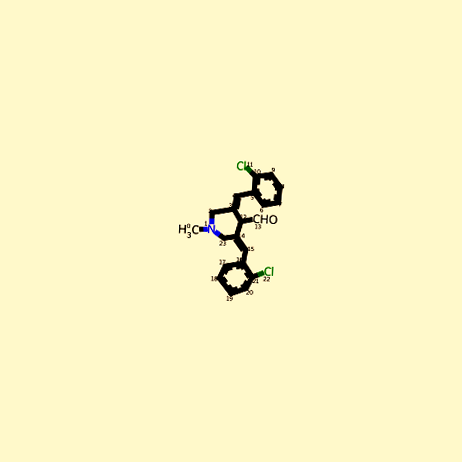 CN1CC(=Cc2ccccc2Cl)C(C=O)C(=Cc2ccccc2Cl)C1